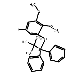 COc1cc(I)cc(O[Si](c2ccccc2)(c2ccccc2)C(C)(C)C)c1OC